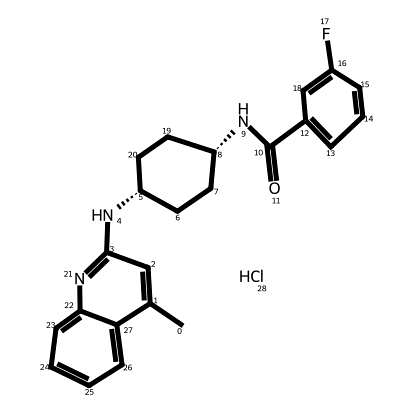 Cc1cc(N[C@H]2CC[C@@H](NC(=O)c3cccc(F)c3)CC2)nc2ccccc12.Cl